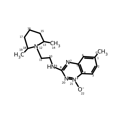 Cc1ccc2c(c1)nc(NCCN1C(C)CCCC1C)n[n+]2[O-]